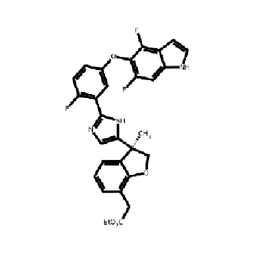 CCOC(=O)Cc1cccc2c1OC[C@]2(C)c1cnc(-c2cc(Oc3c(F)cc4[nH]ccc4c3F)ccc2F)[nH]1